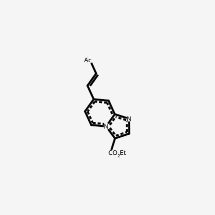 CCOC(=O)c1cnc2cc(C=CC(C)=O)ccn12